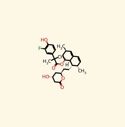 C[C@H]1C=C2C=C[C@H](C)[C@H](CC[C@@H]3C[C@@H](O)CC(=O)O3)[C@H]2[C@@H](OC(=O)C(C)(C)c2ccc(O)c(F)c2)C1